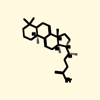 C=C(CC[C@@H](C)[C@H]1CC[C@@]2(C)C3=CCC4C(C)(C)CCC[C@]4(C)C3=CC[C@]12C)C(C)C